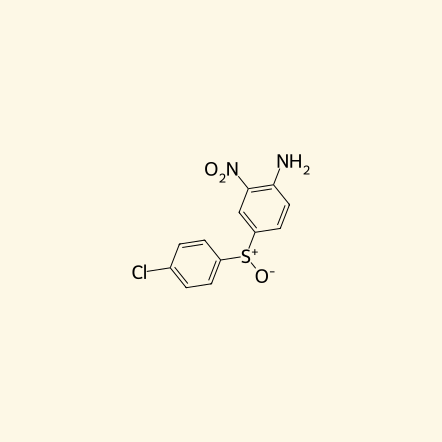 Nc1ccc([S+]([O-])c2ccc(Cl)cc2)cc1[N+](=O)[O-]